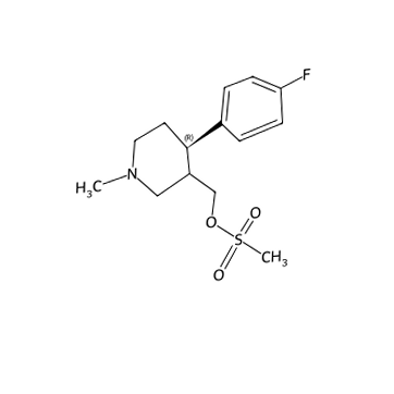 CN1CC[C@@H](c2ccc(F)cc2)C(COS(C)(=O)=O)C1